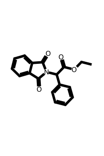 CCOC(=O)C(c1ccccc1)N1C(=O)c2ccccc2C1=O